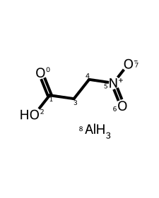 O=C(O)CC[N+](=O)[O-].[AlH3]